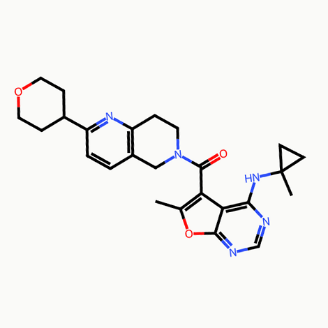 Cc1oc2ncnc(NC3(C)CC3)c2c1C(=O)N1CCc2nc(C3CCOCC3)ccc2C1